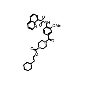 COc1cc(C(=O)N2CCN(C(=O)OCCC3CCCCC3)CC2)ccc1NS(=O)(=O)c1cccc2cccnc12